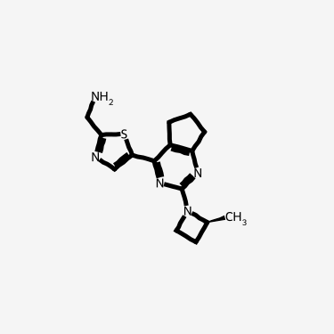 C[C@H]1CCN1c1nc2c(c(-c3cnc(CN)s3)n1)CCC2